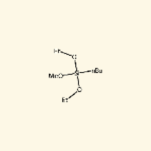 [CH2]CCC[Si](OC)(OCC)OCC